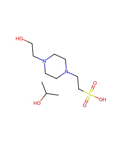 CC(C)O.O=S(=O)(O)CCN1CCN(CCO)CC1